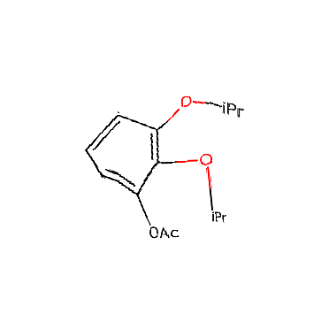 CC(=O)Oc1cc[c]c(OC(C)C)c1OC(C)C